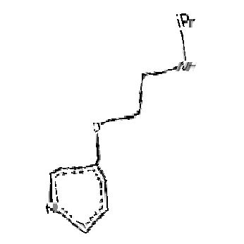 CC(C)NCCOc1cccnc1